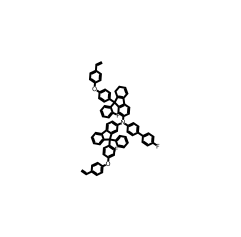 C=Cc1ccc(Oc2ccc(C3(c4ccccc4F)C4=C(C=CCC4)c4ccc(N(c5ccc(-c6ccc(F)cc6)cc5)c5ccc6c(c5)C(c5ccc(Oc7ccc(C=C)cc7)cc5)(c5ccccc5F)c5ccccc5-6)cc43)cc2)cc1